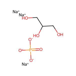 O=P([O-])([O-])[O-].OCC(O)CO.[Na+].[Na+].[Na+]